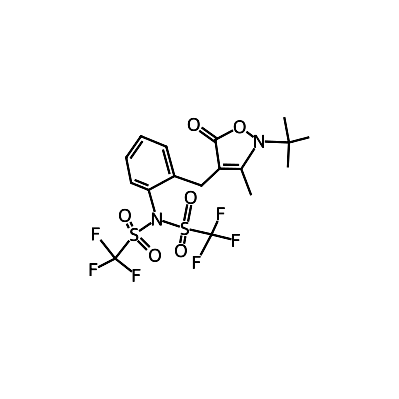 Cc1c(Cc2ccccc2N(S(=O)(=O)C(F)(F)F)S(=O)(=O)C(F)(F)F)c(=O)on1C(C)(C)C